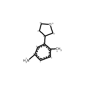 Cc1ccc(N)cc1C1CCOC1